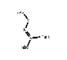 CCCCON=[Si](CCCC)C(C)CCC